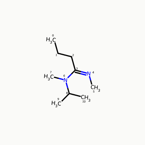 CCC/C(=N/C)N(C)C(C)C